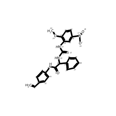 C=Cc1ccc(NC(=O)C(NC(=S)Nc2cc([N+](=O)[O-])ccc2OC)c2ccccc2)cc1